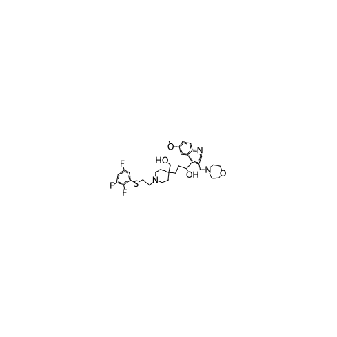 COc1ccc2ncc(CN3CCOCC3)c(C(O)CCC3(CO)CCN(CCSc4cc(F)cc(F)c4F)CC3)c2c1